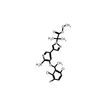 COOC(=O)C(C)(C)n1cc(-c2cnc(N)c(OC(C)c3c(Cl)ccc(F)c3Cl)c2)cn1